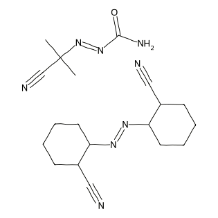 CC(C)(C#N)N=NC(N)=O.N#CC1CCCCC1N=NC1CCCCC1C#N